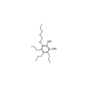 CCCCCOc1c(O)c(O)c(CCC)c(CCC)c1CCC